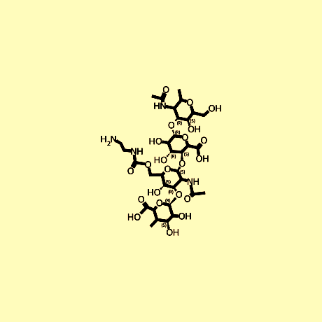 CC(=O)NC1C(C)OC(CO)[C@@H](O)[C@@H]1O[C@@H]1OC(C(=O)O)[C@@H](O[C@@H]2OC(COC(=O)NCCN)[C@@H](O)[C@H](O[C@@H]3OC(C(=O)O)C(C)[C@H](O)C3O)C2NC(C)=O)[C@H](O)C1O